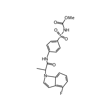 COC(=O)NS(=O)(=O)c1ccc(NC(=O)C(C)n2ccc3c(F)cccc32)cc1